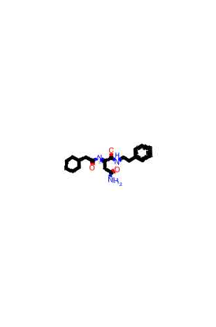 NC(=O)C/C(=N\C(=O)CC1CCCCC1)C(=O)NCCc1ccccc1